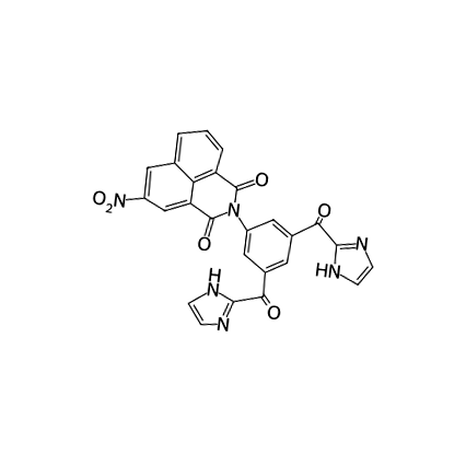 O=C(c1cc(C(=O)c2ncc[nH]2)cc(N2C(=O)c3cccc4cc([N+](=O)[O-])cc(c34)C2=O)c1)c1ncc[nH]1